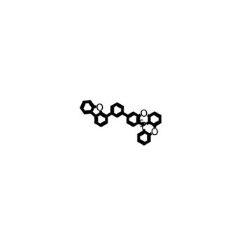 S=P12c3ccccc3OC3=CC=CC(Oc4cc(-c5cccc(-c6cccc7c6oc6ccccc67)c5)ccc41)C32